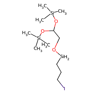 C[Si](C)(C)OC(CO[SiH2]CCCI)O[Si](C)(C)C